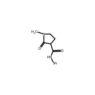 CC(C)NC(=O)C1CCN(C)C1=O